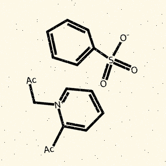 CC(=O)C[n+]1ccccc1C(C)=O.O=S(=O)([O-])c1ccccc1